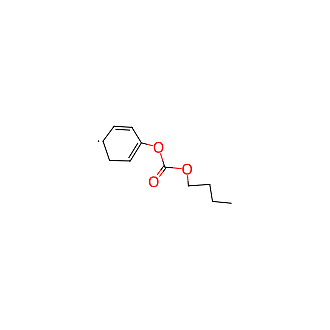 CCCCOC(=O)OC1=CC[CH]C=C1